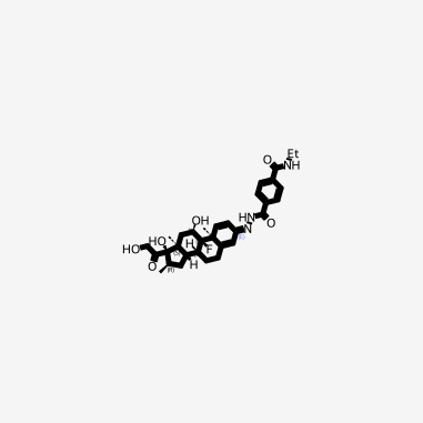 CCNC(=O)c1ccc(C(=O)N/N=C2\C=C[C@@]3(C)C(=C2)CC[C@H]2[C@@H]4C[C@@H](C)[C@](O)(C(=O)CO)[C@@]4(C)C[C@H](O)[C@@]23F)cc1